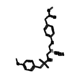 COC(=O)Cc1ccc(OC[C@H](O)CNC(C)(C)Cc2ccc(OC)cc2)cc1.Cl